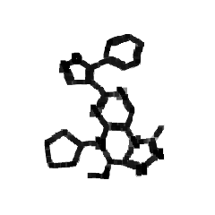 CC[C@@H]1c2nnc(C)n2-c2cnc(-c3cnoc3-c3ccccc3)nc2N1C1CCCC1